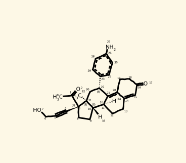 CC(=O)[C@@]1(C#CCO)CC[C@H]2[C@@H]3CCC4=CC(=O)CCC4=C3[C@@H](c3ccc(N)cc3)C[C@@]21C